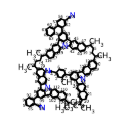 Cc1cc(C#N)ccc1-c1cc2c3cc4cc(C(C)C)ccc4cc3n3c4cc5ccc(C(C)CCC(C)c6ccc7cc8c(cc7c6)c6cc(-c7cc(C#N)ccc7-c7ccccc7)cc7c9cc%10cc(C(C)CCC(C)c%11ccc%12cc%13c(cc%12c%11)c%11cc(-c%12ccccc%12C#N)cc%12c%14cc%15cc(C(C)C)ccc%15cc%14n%13c%12%11)ccc%10cc9n8c67)cc5cc4c(c1)c23